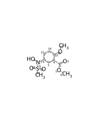 COC(=O)c1cc(N(O)S(C)(=O)=O)ccc1OC